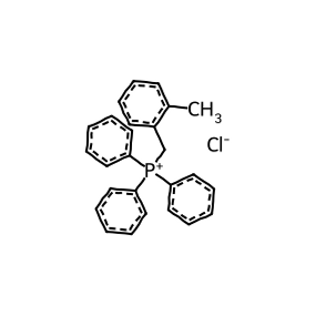 Cc1ccccc1C[P+](c1ccccc1)(c1ccccc1)c1ccccc1.[Cl-]